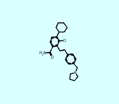 NC(=O)c1ccc(C2CCCCC2)c(Cl)c1CCc1ccc(CN2CCCC2)cc1